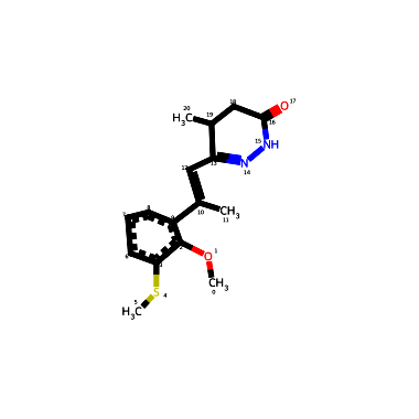 COc1c(SC)cccc1C(C)=CC1=NNC(=O)CC1C